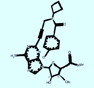 CNC(=O)C1OC(n2cnc3c(N)nc(C#CCN(C(=O)c4ccc(Cl)cc4)C4CCC4)nc32)[C@H](O)[C@@H]1O